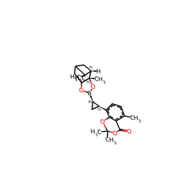 Cc1ccc([C@H]2C[C@H]2B2OC3CC4C[C@@H](C4(C)C)[C@]3(C)O2)c2c1C(=O)OC(C)(C)O2